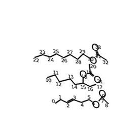 CCC=CCCOC(C)=O.CCCCCC(CC)OC(C)=O.CCCCCCCCOC(C)=O